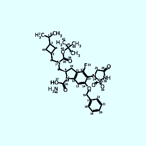 CC(C)C1CC(CN(C[C@H]2Cc3c(cc(OCc4ccccc4)c(N4CC(=O)NS4(=O)=O)c3F)N2C(=O)O)C(=O)OC(C)(C)C)C1.N